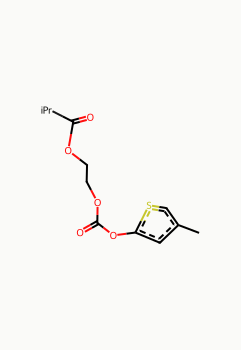 Cc1csc(OC(=O)OCCOC(=O)C(C)C)c1